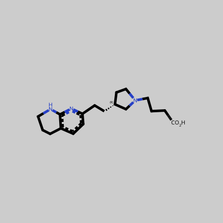 O=C(O)CCCN1CC[C@@H](CCc2ccc3c(n2)NCCC3)C1